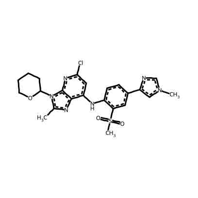 Cc1nc2c(Nc3ccc(-c4cn(C)cn4)cc3S(C)(=O)=O)cc(Cl)nc2n1C1CCCCO1